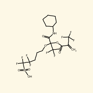 C=C(C(=O)OC(OCCCC(F)(F)C(F)(F)S(=O)(=O)O)(C(=O)NC1CCCCC1)C(F)(F)F)C(F)(F)F